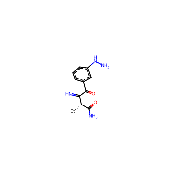 CC[C@H](C(=N)C(=O)c1cccc(NN)c1)C(N)=O